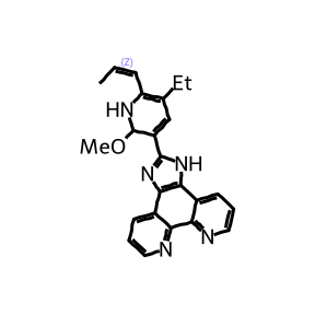 C/C=C\C1=C(CC)C=C(c2nc3c4cccnc4c4ncccc4c3[nH]2)C(OC)N1